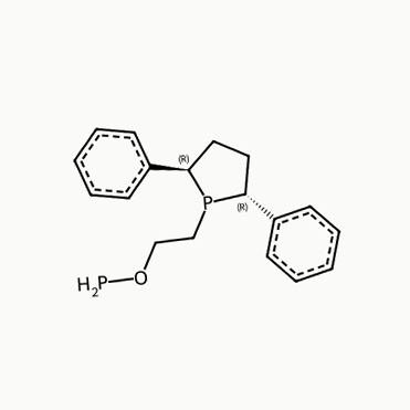 POCCP1[C@@H](c2ccccc2)CC[C@@H]1c1ccccc1